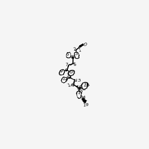 C#CCOC(=O)CCC(=O)OC(=O)CCC(=O)OC#C